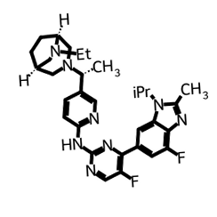 CCN1C[C@@H]2CC[C@H]1CN([C@H](C)c1ccc(Nc3ncc(F)c(-c4cc(F)c5nc(C)n(C(C)C)c5c4)n3)nc1)C2